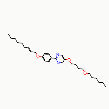 CCCCCCC=CCOc1ccc(-c2ncc(OCCCCOCCCCCC)cn2)cc1